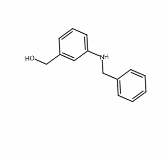 OCc1cccc(NCc2ccccc2)c1